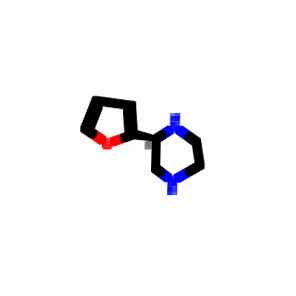 c1coc([C@@H]2CNCCN2)c1